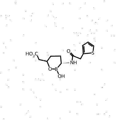 O=C(O)CC1CC[C@H](NC(=O)Cc2cccs2)B(O)O1